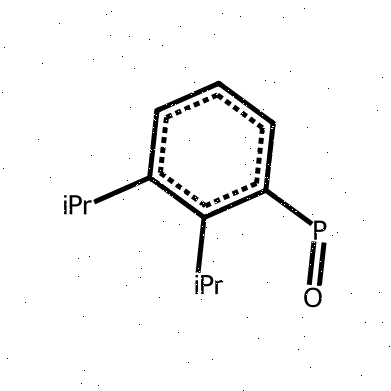 CC(C)c1cccc(P=O)c1C(C)C